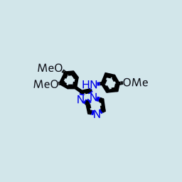 COc1ccc(Nc2c(-c3ccc(OC)c(OC)c3)nc3cnccn23)cc1